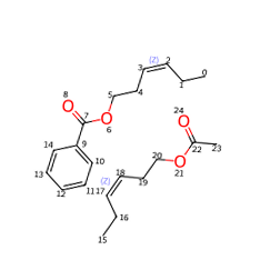 CC/C=C\CCOC(=O)c1ccccc1.CC/C=C\CCOC(C)=O